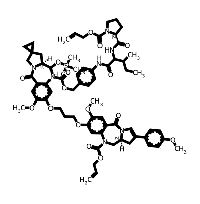 C=CCOC(=O)N1C[C@@H]2CC(c3ccc(OC)cc3)=CN2C(=O)c2cc(OC)c(OCCCOc3cc4c(cc3OC)C(=O)N3CC5(CC5)C[C@H]3C(O[Si](C)(C)C)N4C(=O)OCc3ccc(NC(=O)C(NC(=O)[C@@H]4CCCN4C(=O)OCC=C)C(C)CC)cc3)cc21